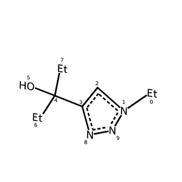 CCn1cc(C(O)(CC)CC)nn1